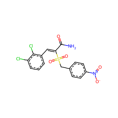 NC(=O)C(=Cc1cccc(Cl)c1Cl)S(=O)(=O)Cc1ccc([N+](=O)[O-])cc1